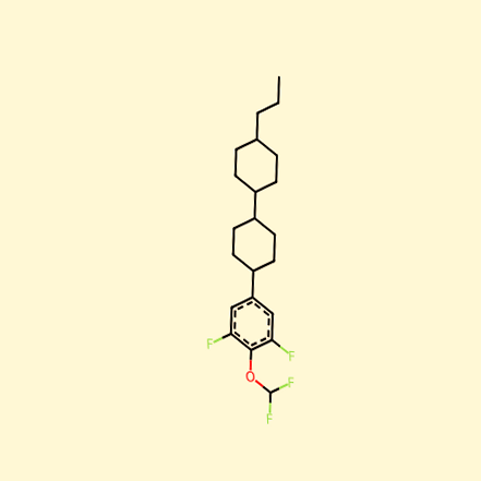 CCCC1CCC(C2CCC(c3cc(F)c(OC(F)F)c(F)c3)CC2)CC1